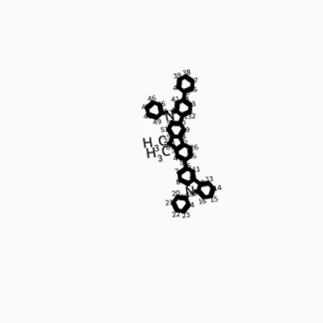 CC1(C)c2cc(-c3ccc4c(c3)c3ccccc3n4-c3ccccc3)ccc2-c2cc3c4ccc(-c5ccccc5)cc4n(-c4ccccc4)c3cc21